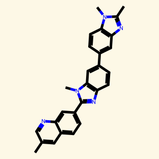 Cc1cnc2cc(-c3nc4ccc(-c5ccc6c(c5)nc(C)n6C)cc4n3C)ccc2c1